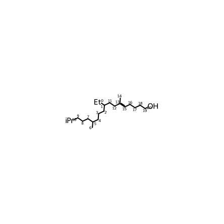 CCC(CCCC(C)CCCC(C)C)CC/C(C)=C/CCCCO